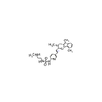 CNCCNS(=O)(=O)Nc1ccc(/C=C/C(=O)N(C)Cc2oc3c(C)cccc3c2C)cn1